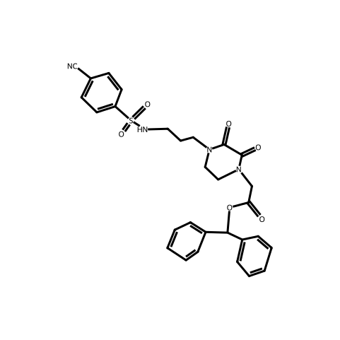 N#Cc1ccc(S(=O)(=O)NCCCN2CCN(CC(=O)OC(c3ccccc3)c3ccccc3)C(=O)C2=O)cc1